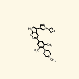 Cc1cc(-c2cc3c(-c4cnn(C5COC5)c4)c[nH]c3nn2)cc(C)c1N1CCN(C)CC1